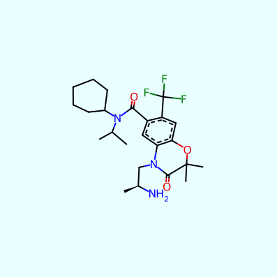 CC(C)N(C(=O)c1cc2c(cc1C(F)(F)F)OC(C)(C)C(=O)N2C[C@H](C)N)C1CCCCC1